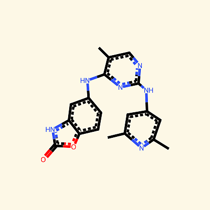 Cc1cc(Nc2ncc(C)c(Nc3ccc4oc(=O)[nH]c4c3)n2)cc(C)n1